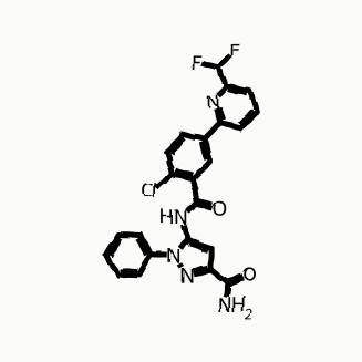 NC(=O)c1cc(NC(=O)c2cc(-c3cccc(C(F)F)n3)ccc2Cl)n(-c2ccccc2)n1